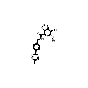 Cc1nnc(-c2ccc(CNC(=O)C3O[C@@H](OC(C)C)C(O)C(O)[C@@H]3OC(C)(C)C)cc2)nn1